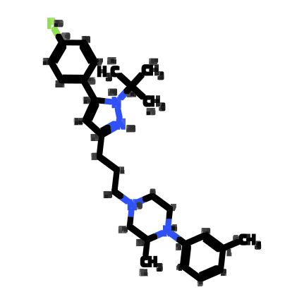 Cc1cccc(N2CCN(CCCc3cc(-c4ccc(F)cc4)n(C(C)(C)C)n3)CC2C)c1